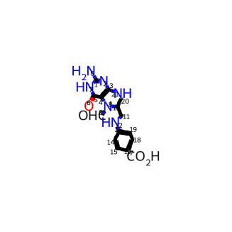 Nc1nc2c(c(=O)[nH]1)N(C=O)C(CNc1ccc(C(=O)O)cc1)CN2